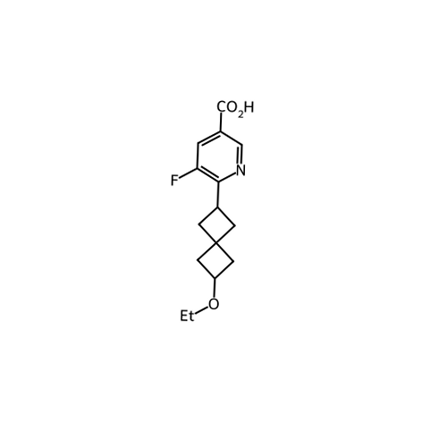 CCOC1CC2(C1)CC(c1ncc(C(=O)O)cc1F)C2